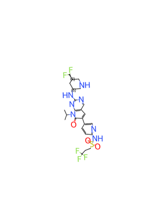 CC(C)n1c(=O)c(-c2ccc(NS(=O)(=O)CCC(F)(F)F)nc2)cc2cnc(N[C@@H]3CNC[C@H](C(F)F)C3)nc21